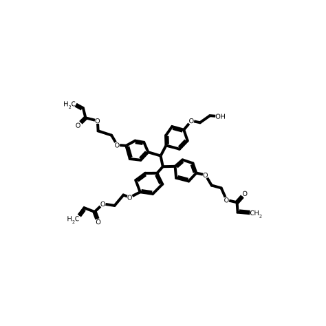 C=CC(=O)OCCOc1ccc(C(c2ccc(OCCO)cc2)C(c2ccc(OCCOC(=O)C=C)cc2)c2ccc(OCCOC(=O)C=C)cc2)cc1